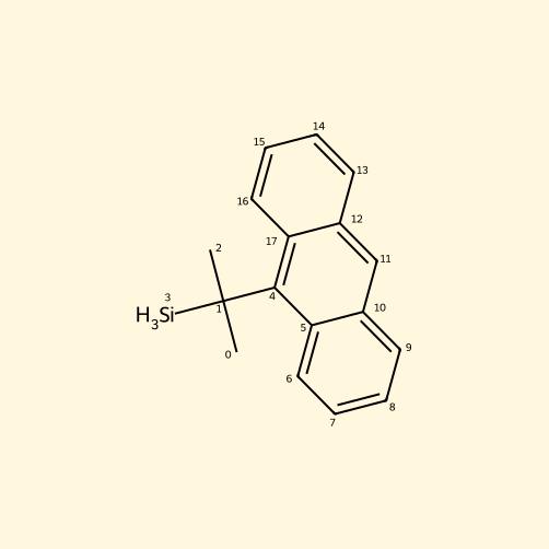 CC(C)([SiH3])c1c2ccccc2cc2ccccc12